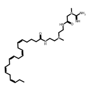 CC/C=C\C/C=C\C/C=C\C/C=C\C/C=C\CCCC(=O)NCCN(C)CCNC(=O)CN(C)C(=N)N